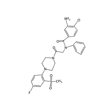 CS(=O)(=O)c1cc(F)ccc1N1CCN(C(=O)CN(C(=O)c2ccc(Cl)c(N)c2)c2ccccc2)CC1